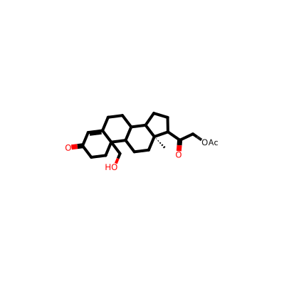 CC(=O)OCC(=O)C1CCC2C3CCC4=CC(=O)CCC4(CO)C3CC[C@]12C